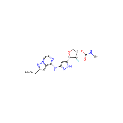 COCc1cc2c(Nc3cc([C@@H]4OC[C@H](OC(=O)NC(C)C)[C@H]4F)[nH]n3)nccn2n1